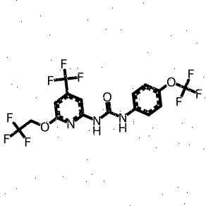 O=C(Nc1ccc(OC(F)(F)F)cc1)Nc1cc(C(F)(F)F)cc(OCC(F)(F)F)n1